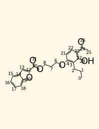 CCCc1c(OCCCOC(=O)c2cc3ccccc3o2)ccc(C(C)=O)c1O